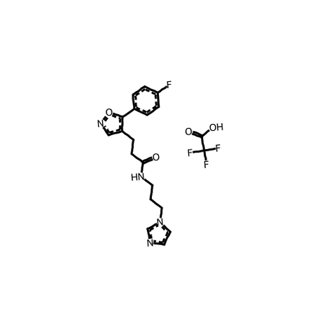 O=C(CCc1cnoc1-c1ccc(F)cc1)NCCCn1ccnc1.O=C(O)C(F)(F)F